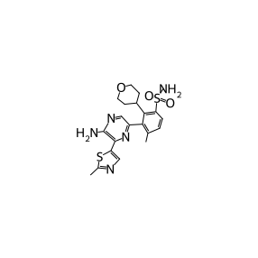 Cc1ncc(-c2nc(-c3c(C)ccc(S(N)(=O)=O)c3C3CCOCC3)cnc2N)s1